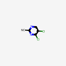 N#Cc1ncc(Cl)c(Cl)n1